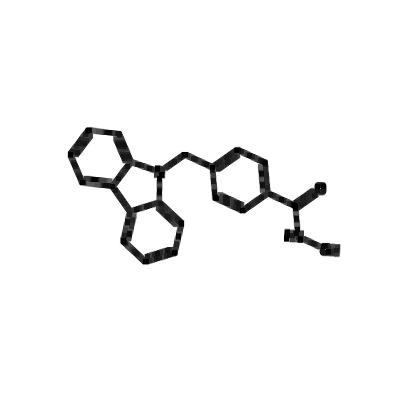 O=C(NO)c1ccc(Cn2c3ccccc3c3ccccc32)cc1